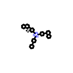 C[Si]1(C)c2cc(-c3nc(-c4ccc(-c5ccccc5)cc4)nc(-c4ccc(-c5cccc6ccccc56)cc4)n3)ccc2-c2ccc3ccccc3c21